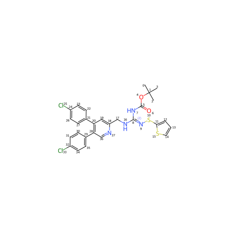 CC(C)(C)OC(=O)N/C(=N\Sc1cccs1)NCc1cc(-c2ccc(Cl)cc2)c(-c2ccc(Cl)cc2)cn1